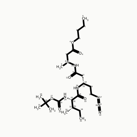 CCCCOC(=O)CN(C)NC(=O)C[C@H](CCN=[N+]=[N-])NC(=O)[C@@H](NC(=O)OC(C)(C)C)[C@@H](C)CC